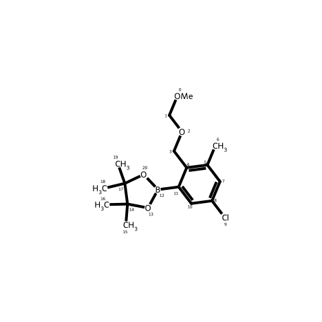 COCOCc1c(C)cc(Cl)cc1B1OC(C)(C)C(C)(C)O1